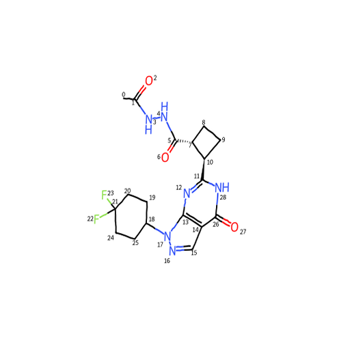 CC(=O)NNC(=O)[C@@H]1CC[C@H]1c1nc2c(cnn2C2CCC(F)(F)CC2)c(=O)[nH]1